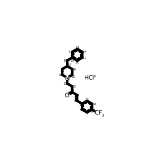 Cl.O=C(C=Cc1ccc(C(F)(F)F)cc1)CCN1CCC(Cc2ccccc2)CC1